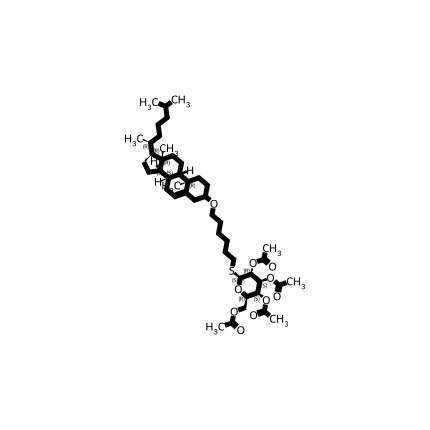 CC(=O)OC[C@H]1O[C@@H](SCCCCCCOC2CC[C@@]3(C)C(=CC[C@H]4[C@@H]5CC[C@H]([C@H](C)CCCC(C)C)[C@@]5(C)CC[C@@H]43)C2)[C@H](OC(C)=O)[C@@H](OC(C)=O)[C@H]1OC(C)=O